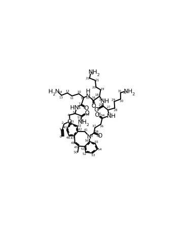 C#CCOCC(NC(=O)C(CCCCN)NC(=O)C(CCCCN)NC(=O)C(CCCCN)NC(=O)CCC(=O)N1Cc2ccccc2/C=C(/C)c2ccccc21)C(N)=O